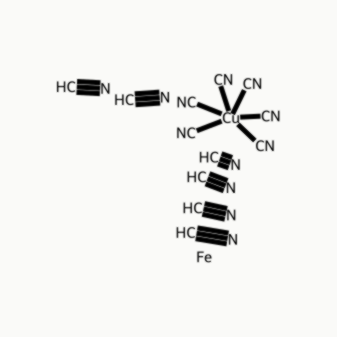 C#N.C#N.C#N.C#N.C#N.C#N.N#[C][Cu]([C]#N)([C]#N)([C]#N)([C]#N)[C]#N.[Fe]